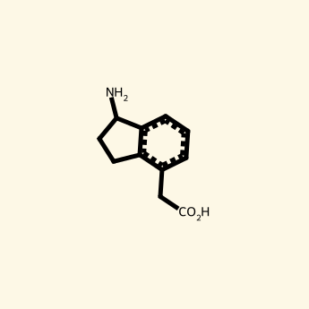 NC1CCc2c(CC(=O)O)cccc21